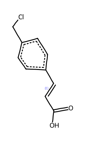 O=C(O)/C=C/c1ccc(CCl)cc1